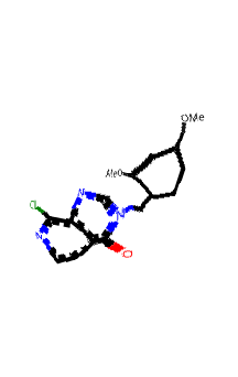 COC1CCC(Cn2cnc3c(Cl)nccc3c2=O)C(OC)C1